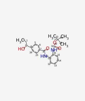 CCC(O)c1ccc(C(=O)Nc2ccccc2NC(=O)OC(C)(C)C)cc1